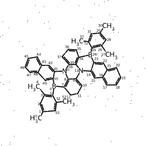 Cc1cc(C)c(B2C3=C4C(=CCC3)N3c5cc6ccccc6cc5B(c5c(C)cc(C)cc5C)c5cccc(c53)N4c3cc4ccccc4cc32)c(C)c1